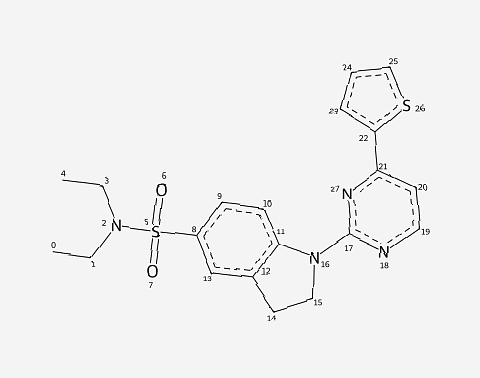 CCN(CC)S(=O)(=O)c1ccc2c(c1)CCN2c1nccc(-c2cccs2)n1